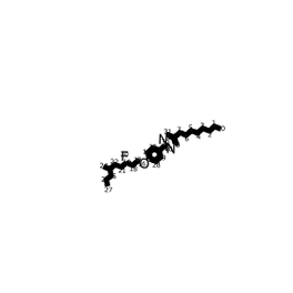 CCCCCCCCc1cnc(-c2ccc(OCCC(F)CCC(C)CCC)cc2)nc1